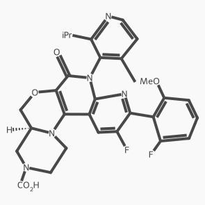 COc1cccc(F)c1-c1nc2c(cc1F)c1c(c(=O)n2-c2c(C)ccnc2C(C)C)OC[C@@H]2CN(C(=O)O)CCN12